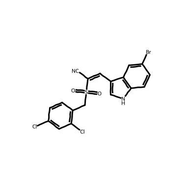 N#C/C(=C/c1c[nH]c2ccc(Br)cc12)S(=O)(=O)Cc1ccc(Cl)cc1Cl